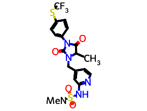 CNS(=O)(=O)Nc1cc(CN2C(=O)N(c3ccc(SC(F)(F)F)cc3)C(=O)C2C)ccn1